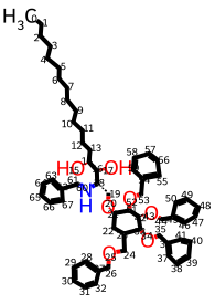 CCCCCCCCCCCCCC[C@@H](O)[C@@H](O)[C@H](CO[C@H]1CC(COCc2ccccc2)C(OCc2ccccc2)[C@@H](OCc2ccccc2)C1OCc1ccccc1)NCc1ccccc1